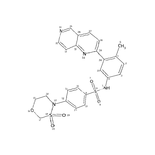 Cc1ccc(NS(=O)(=O)c2ccc(N3CCOCS3(=O)=O)cc2)cc1-c1ccc2cnccc2n1